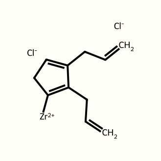 C=CCC1=CC[C]([Zr+2])=C1CC=C.[Cl-].[Cl-]